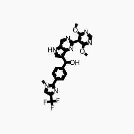 COc1ncnc(OC)c1-c1ncc2[nH]cc(C(O)c3ccc(-c4nc(C(F)(F)F)cn4C)cc3)c2n1